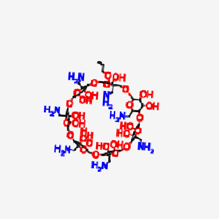 C=CCOC1C2OC(CN)C(OC3OC(CN)C(OC4OC(CN)C(OC5OC(CN)C(OC6OC(CN)C(OC7OC(CN)C(OC8OC(CN)C(O2)C(O)C8O)C(O)C7O)C(O)C6O)C(O)C5O)C(O)C4O)C(O)C3O)C1O